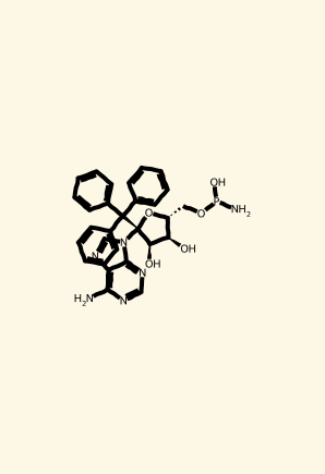 Nc1ncnc2c1ncn2[C@]1(C(c2ccccc2)(c2ccccc2)c2ccccc2)O[C@H](COP(N)O)[C@@H](O)[C@H]1O